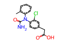 Cc1ccccc1N(C(N)=O)c1ccc(CC(=O)O)cc1Cl